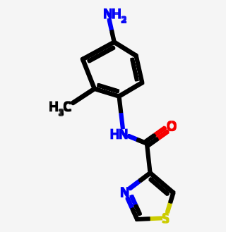 Cc1cc(N)ccc1NC(=O)c1cscn1